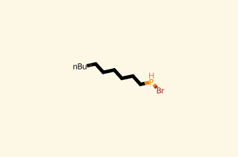 CCCCCCCCCCPBr